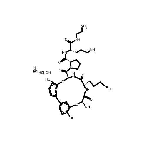 Cl.Cl.Cl.Cl.NCCC[C@@H]1NC(=O)[C@@H](N)Cc2cc(ccc2O)-c2ccc(O)c(c2)C[C@@H](C(=O)N2CCC[C@H]2C(=O)N[C@@H](CCCN)C(=O)NCCN)NC1=O